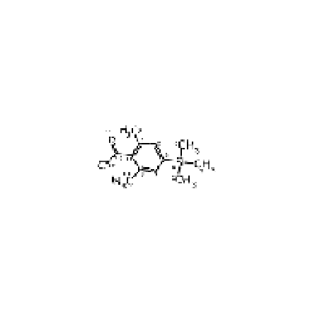 Cc1cc([Si](C)(C)C)cc(C)c1C(=O)Cl